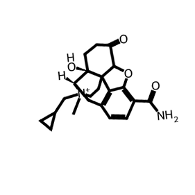 C[N+]1(CC2CC2)CCC23c4c5ccc(C(N)=O)c4OC2C(=O)CC[C@@]3(O)[C@H]1C5